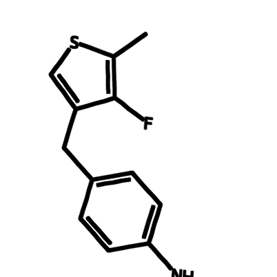 Cc1scc(Cc2ccc(N)cc2)c1F